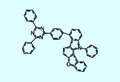 c1ccc(-c2nc(-c3ccccc3)nc(-c3ccc(-c4cccc5c4c4ccc6oc7ccccc7c6c4n5-c4ccccc4)cc3)n2)cc1